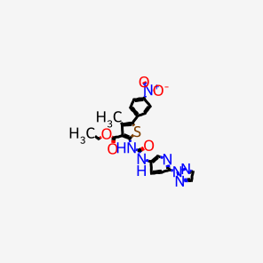 CCOC(=O)c1c(NC(=O)Nc2ccc(-n3nccn3)nc2)sc(-c2ccc([N+](=O)[O-])cc2)c1C